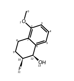 COc1cccc2c1CC[C@H](F)[C@@H]2O